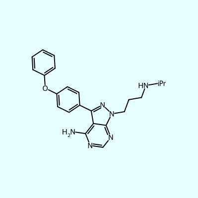 CC(C)NCCCn1nc(-c2ccc(Oc3ccccc3)cc2)c2c(N)ncnc21